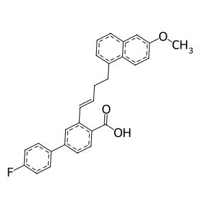 COc1ccc2c(CCC=Cc3cc(-c4ccc(F)cc4)ccc3C(=O)O)cccc2c1